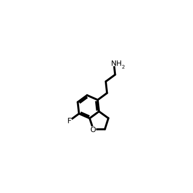 NCCCc1ccc(F)c2c1CCO2